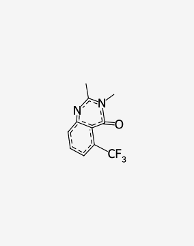 Cc1nc2cccc(C(F)(F)F)c2c(=O)n1C